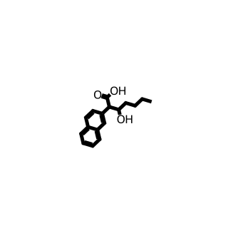 CCCCC(O)C(C(=O)O)c1ccc2ccccc2c1